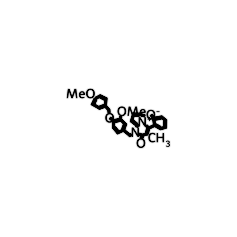 COc1ccc(COc2ccc(Cn3c(=O)c(C)c(-c4ccccc4[O-])[n+]4ccccc34)cc2OC)cc1